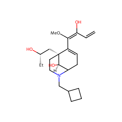 C=C/C(O)=C(/OC)C1=CCC2[C@@H](O)[C@@]1(C[C@@H](O)CC)CCN2CC1CCC1